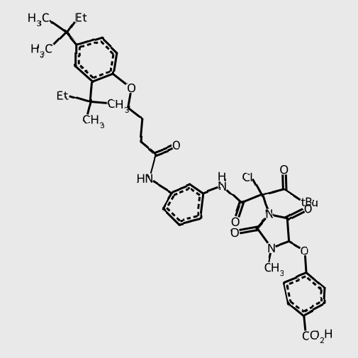 CCC(C)(C)c1ccc(OCCCC(=O)Nc2cccc(NC(=O)C(Cl)(C(=O)C(C)(C)C)N3C(=O)C(Oc4ccc(C(=O)O)cc4)N(C)C3=O)c2)c(C(C)(C)CC)c1